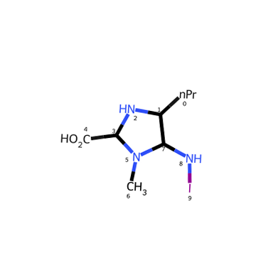 CCCC1NC(C(=O)O)N(C)C1NI